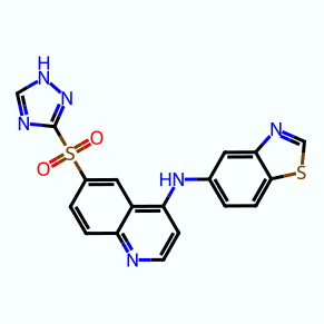 O=S(=O)(c1ccc2nccc(Nc3ccc4scnc4c3)c2c1)c1nc[nH]n1